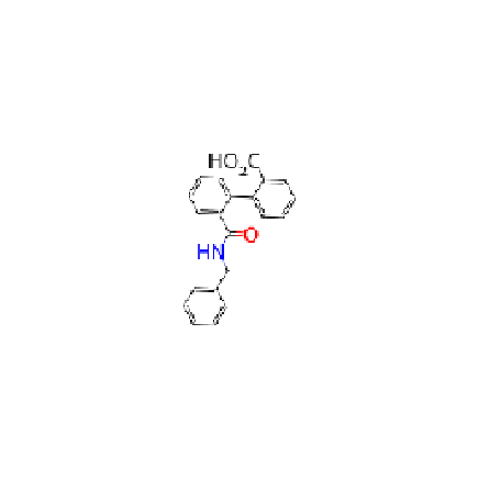 O=C(O)c1ccccc1-c1ccccc1C(=O)NCc1ccccc1